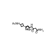 CC(=O)N[C@H]1C[C@@H](c2cc(NC(=O)[CH]C(N)=O)[nH]n2)C1